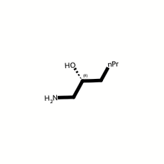 CCCC[C@@H](O)CN